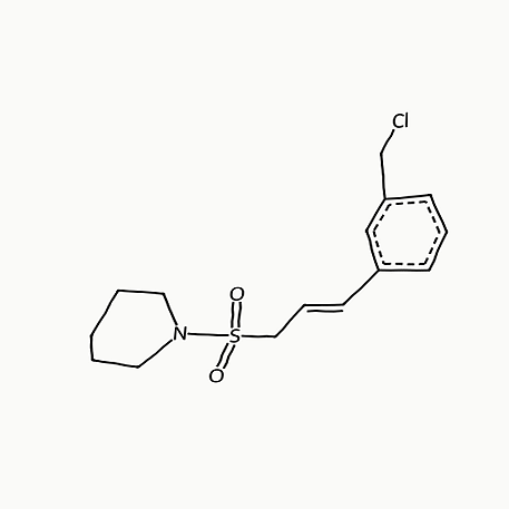 O=S(=O)(CC=Cc1cccc(CCl)c1)N1CCCCC1